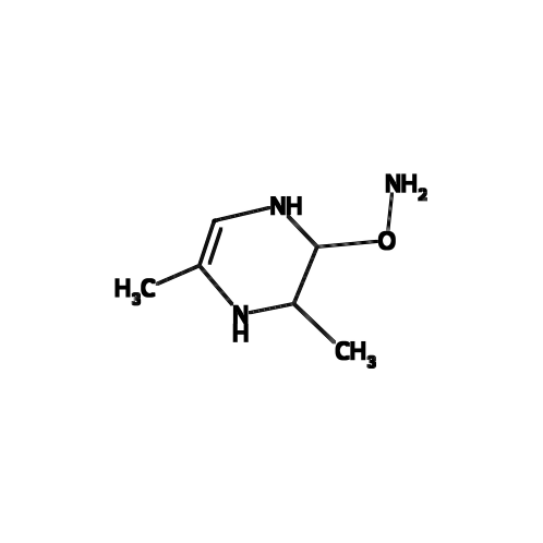 CC1=CNC(ON)C(C)N1